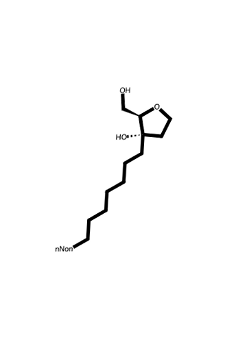 CCCCCCCCCCCCCCCC[C@]1(O)CCO[C@@H]1CO